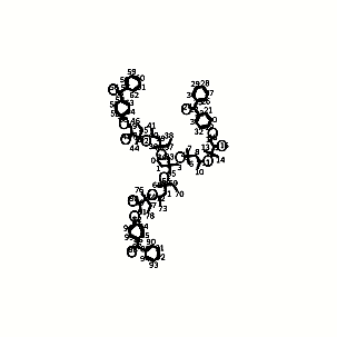 CCC(COC(C)(C)CC(C)OC(C)(C)C(=O)COc1ccc(C(=O)c2ccccc2)cc1)(COC(C)(CC)CC(C)OC(C)(CC)C(=O)COc1ccc(C(=O)c2ccccc2)cc1)COC(C)(CC)CC(C)OC(C)(CC)C(=O)COc1ccc(C(=O)c2ccccc2)cc1